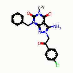 CCCn1c(=O)c2c(N)n(CC(=O)c3ccc(Cl)cc3)nc2n(Cc2ccccc2)c1=O